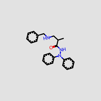 CC(CNCc1ccccc1)C(=O)NN(c1ccccc1)c1ccccc1